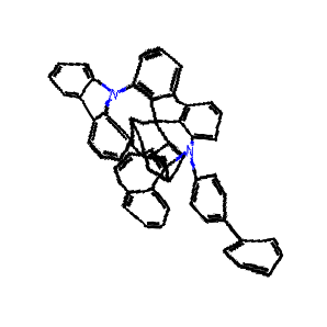 c1ccc(-c2ccc(N(c3cccc4c3C3(c5c-4cccc5-n4c5ccccc5c5ccccc54)C4CC5CC(C4)C3C5)c3cccc4ccccc34)cc2)cc1